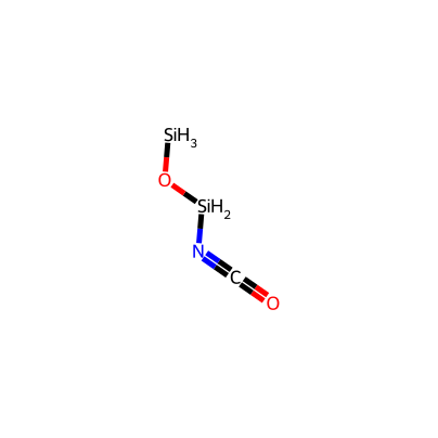 O=C=N[SiH2]O[SiH3]